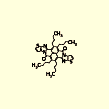 CCCCc1c(CCCC)c2c3c(c(CCCC)c(CCCC)c4c3c1c(=O)n1c3ccsc3nc41)c(=O)n1c3ccsc3nc21